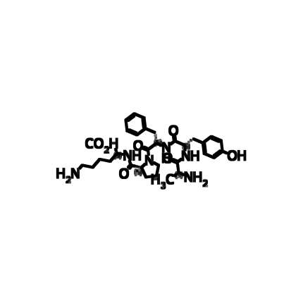 C[C@H](N)C(=O)N[C@@H](Cc1ccc(O)cc1)C(=O)N[C@@H](Cc1ccccc1)C(=O)N1CCC[C@H]1C(=O)N[C@@H](CCCCN)C(=O)O